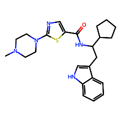 CN1CCN(c2ncc(C(=O)NC(Cc3c[nH]c4ccccc34)C3CCCC3)s2)CC1